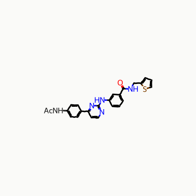 CC(=O)Nc1ccc(-c2ccnc(Nc3cccc(C(=O)NCc4cccs4)c3)n2)cc1